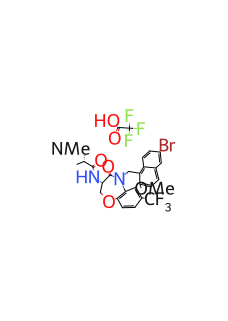 CN[C@@H](C)C(=O)N[C@H]1COc2ccc(C(F)(F)F)cc2N(Cc2c(OC)ccc3cc(Br)ccc23)C1=O.O=C(O)C(F)(F)F